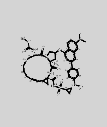 CN(C)c1ccc2c(OC3C[C@H]4C(=O)N[C@]5(C(=O)NS(=O)(=O)C6CC6)CC5/C=C\CCCOC[C@H](NC(=O)OC(C)(C)C)C(=O)N4C3)nc(-c3ccc(OC(F)(F)F)cc3)cc2c1